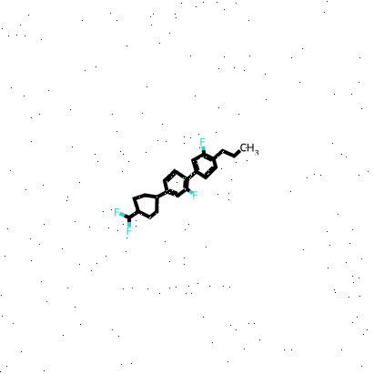 CCCc1ccc(-c2ccc(C3CCC(C(F)F)CC3)cc2F)cc1F